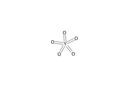 [O]=[Y](=[O])(=[O])(=[O])=[O]